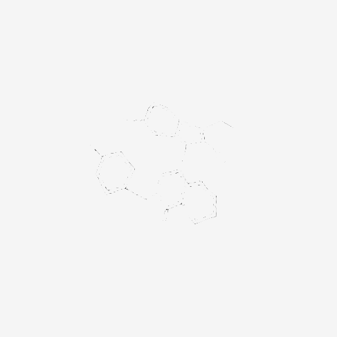 Cc1c(-c2nn(Cc3ccc(F)cc3)c(=O)c3ccccc23)c2cc(Cl)ccc2n1CC(=O)O